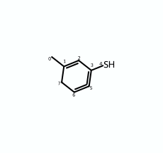 CC1=CC(S)=C=CC1